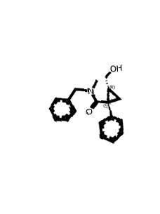 CN(Cc1ccccc1)C(=O)[C@@]1(c2ccccc2)C[C@H]1CO